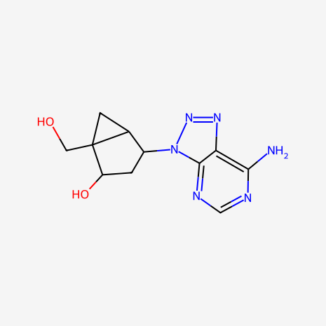 Nc1ncnc2c1nnn2C1CC(O)C2(CO)CC12